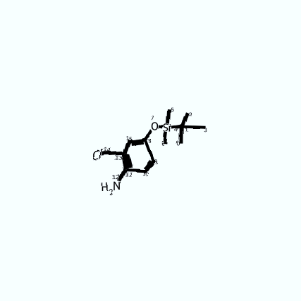 CC(C)(C)[Si](C)(C)Oc1ccc(N)c(Cl)c1